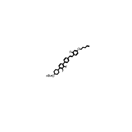 C=CCCCOc1ccc(/C=C/c2ccc(-c3ccc(C4CCC(OCCCC)CC4)c(F)c3F)cc2)c(F)c1